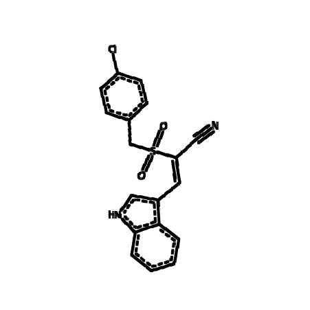 N#C/C(=C/c1c[nH]c2ccccc12)S(=O)(=O)Cc1ccc(Cl)cc1